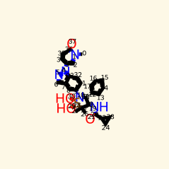 Cn1cc(-n2ncc3cc(N4[C@H](c5ccccc5)[C@@H](NC(=O)C5CC5)C(C)(C)S4(O)O)ccc32)ccc1=O